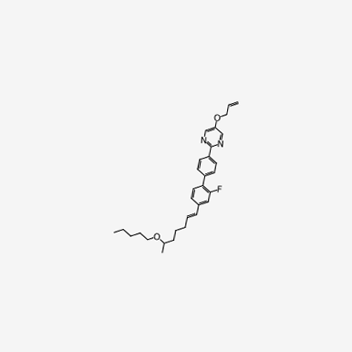 C=CCOc1cnc(-c2ccc(-c3ccc(/C=C/CCCC(C)OCCCCC)cc3F)cc2)nc1